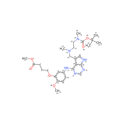 COC(=O)CCCOc1cc(Nc2ncnc3[nH]cc(CN(C)CCN(C)C(=O)OC(C)(C)C)c23)ccc1OC